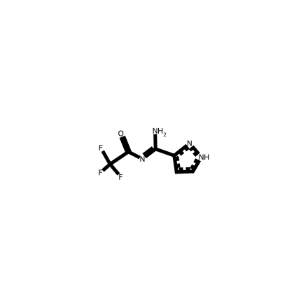 NC(=NC(=O)C(F)(F)F)c1cc[nH]n1